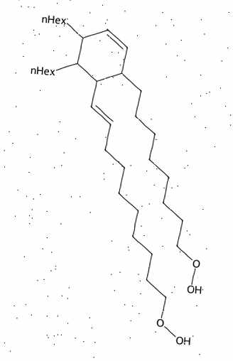 CCCCCCC1C=CC(CCCCCCCCOO)C(/C=C/CCCCCCCCOO)C1CCCCCC